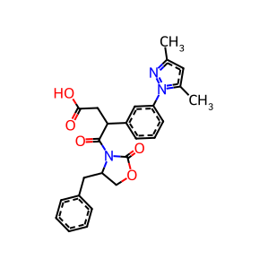 Cc1cc(C)n(-c2cccc(C(CC(=O)O)C(=O)N3C(=O)OCC3Cc3ccccc3)c2)n1